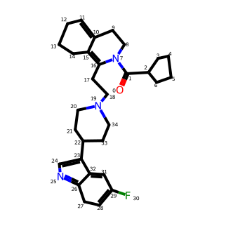 O=C(C1CCCC1)N1CCC2=CCCCC2=C1CCN1CCC(C2=CN=C3CC=C(F)C=C23)CC1